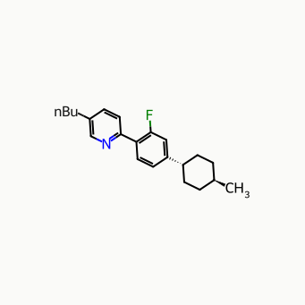 CCCCc1ccc(-c2ccc([C@H]3CC[C@H](C)CC3)cc2F)nc1